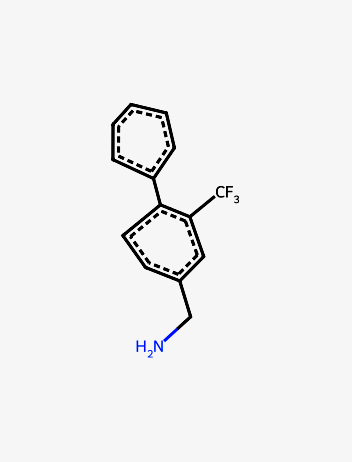 NCc1ccc(-c2ccccc2)c(C(F)(F)F)c1